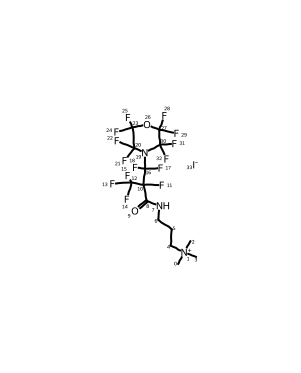 C[N+](C)(C)CCCNC(=O)C(F)(C(F)(F)F)C(F)(F)N1C(F)(F)C(F)(F)OC(F)(F)C1(F)F.[I-]